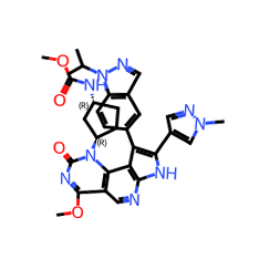 COC(=O)N[C@@H]1CC[C@@H](n2c(=O)nc(OC)c3cnc4[nH]c(-c5cnn(C)c5)c(-c5ccc6c(cnn6C(C)C)c5)c4c32)C1